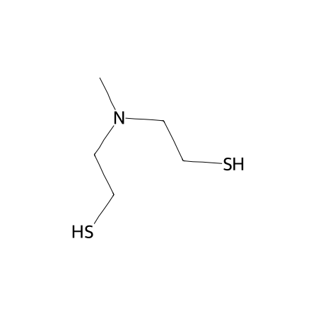 CN(CCS)CCS